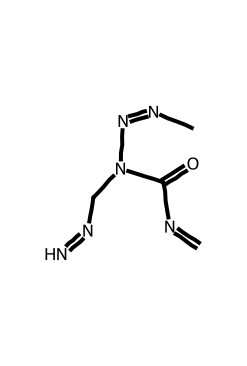 C=NC(=O)N(CN=N)/N=N\C